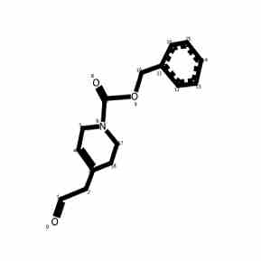 O=CCC1=CCN(C(=O)OCc2ccccc2)CC1